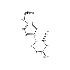 CCCCCOc1ccc([C@H]2CC[C@H](CC)CC2=O)cc1